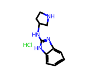 Cl.c1ccc2[nH]c(NC3CCNC3)nc2c1